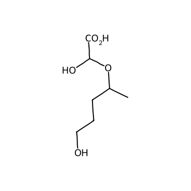 CC(CCCO)OC(O)C(=O)O